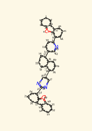 c1ccc2c(c1)oc1c(-c3ccc(-c4cccc5c(-c6cnc(-c7cccc8c7oc7ccccc78)nc6)cccc45)cn3)cccc12